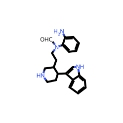 Nc1ccccc1N(C=O)CCC1CNCCC1c1c[nH]c2ccccc12